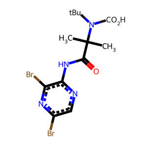 CC(C)(C)N(C(=O)O)C(C)(C)C(=O)Nc1ncc(Br)nc1Br